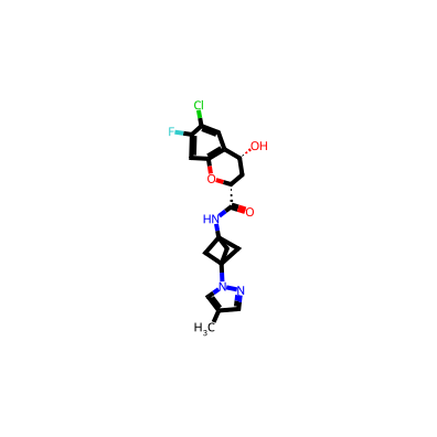 Cc1cnn(C23CC(NC(=O)[C@H]4C[C@@H](O)c5cc(Cl)c(F)cc5O4)(C2)C3)c1